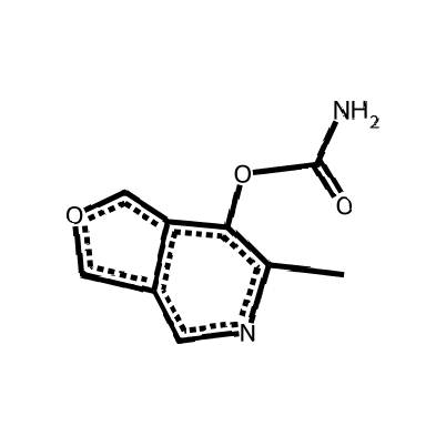 Cc1ncc2cocc2c1OC(N)=O